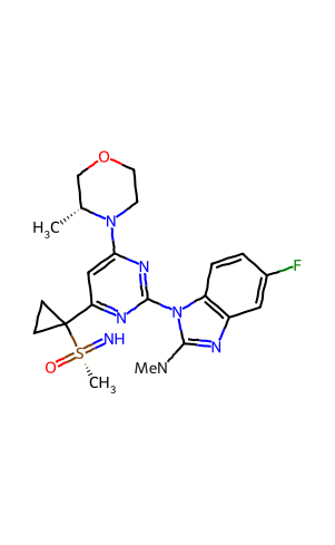 CNc1nc2cc(F)ccc2n1-c1nc(N2CCOC[C@H]2C)cc(C2([S@@](C)(=N)=O)CC2)n1